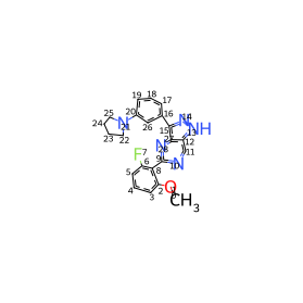 COc1cccc(F)c1-c1ncc2[nH]nc(-c3cccc(N4CCCC4)c3)c2n1